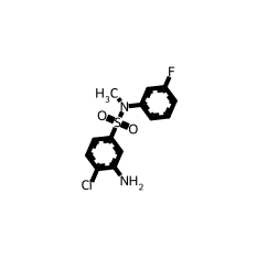 CN(c1cccc(F)c1)S(=O)(=O)c1ccc(Cl)c(N)c1